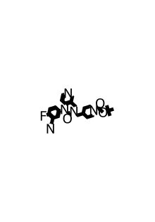 CC(C)(C)OC(=O)N1CCC(CN2Cc3cnccc3N(c3ccc(F)c(C#N)c3)C2=O)CC1